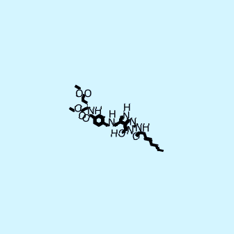 CCCCCCCC(=O)Nc1nc(O)c2c(CNCc3ccc(C(=O)N[C@@H](CCC(=O)OCC)C(=O)OCC)cc3)c[nH]c2n1